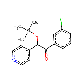 CC(C)(C)[Si](C)(C)OC(C(=O)c1cccc(Cl)c1)c1ccncc1